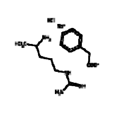 Cl.N=C(N)NCCCC(N)C(=O)O.O=C([O-])Cc1ccccc1.[Na+]